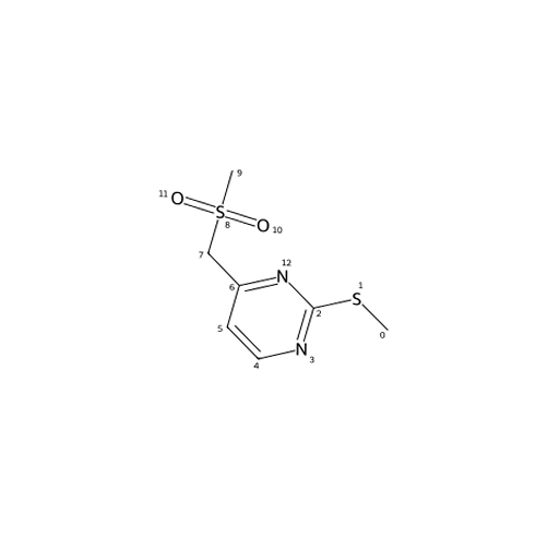 CSc1nccc(CS(C)(=O)=O)n1